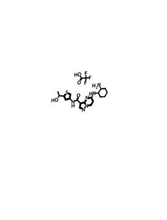 CC(O)c1cc(NC(=O)c2cnn3ccc(N[C@@H]4CCCC[C@@H]4N)nc23)cs1.O=C(O)C(F)(F)F